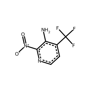 Nc1c(C(F)(F)F)ccnc1[N+](=O)[O-]